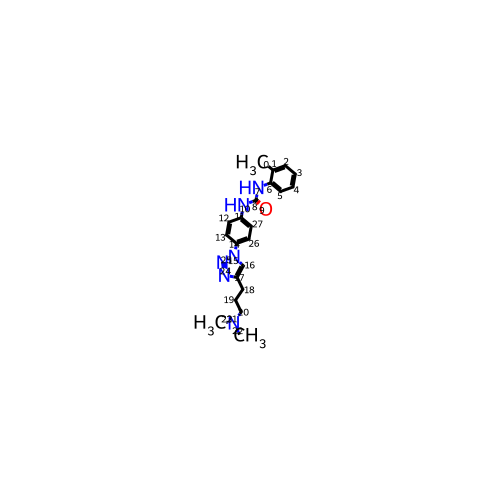 Cc1ccccc1NC(=O)Nc1ccc(-n2cc(CCCN(C)C)nn2)cc1